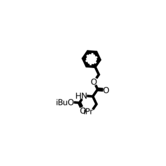 CC(C)COC(=O)NC(CC(C)C)C(=O)OCc1ccccc1